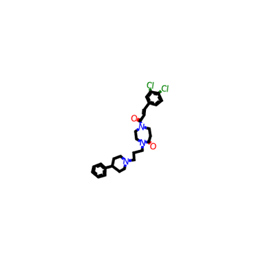 O=C(C=Cc1ccc(Cl)c(Cl)c1)N1CCC(=O)N(CCCN2CCC(c3ccccc3)CC2)CC1